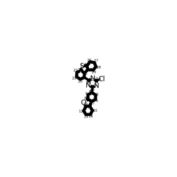 Clc1nc(-c2ccc3c(c2)oc2ccccc23)nc(-c2cccc3sc4ccccc4c23)n1